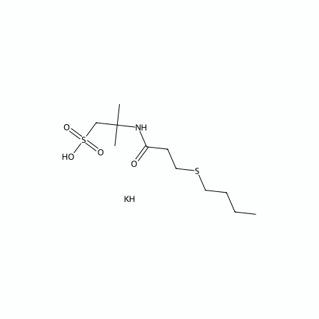 CCCCSCCC(=O)NC(C)(C)CS(=O)(=O)O.[KH]